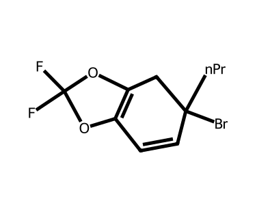 CCCC1(Br)C=CC2=C(C1)OC(F)(F)O2